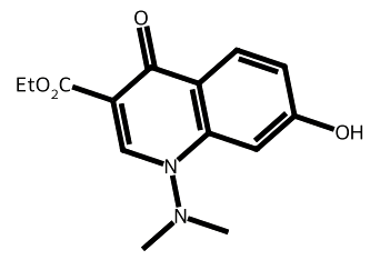 CCOC(=O)c1cn(N(C)C)c2cc(O)ccc2c1=O